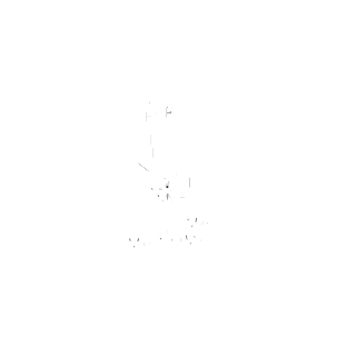 C=CCN(CCC[Si](OC)(OC)OC)S(=O)(=O)C(F)(F)C(F)(F)C(F)(F)C(F)(F)C(F)(F)C(F)(F)C(F)(F)C(F)(F)F